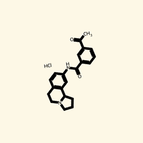 CC(=O)c1cccc(C(=O)Nc2ccc3c(c2)C2CCCN2CC3)c1.Cl